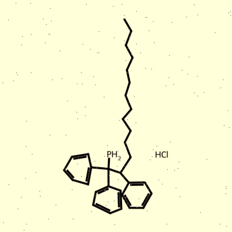 CCCCCCCCCCCCC(c1ccccc1)C(P)(c1ccccc1)c1ccccc1.Cl